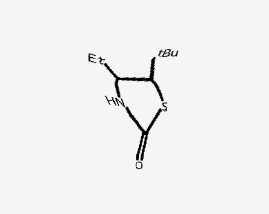 CCC1NC(=O)SC1C(C)(C)C